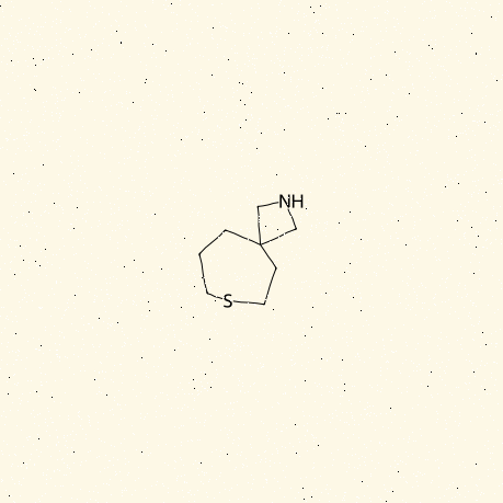 C1CSCCC2(C1)CNC2